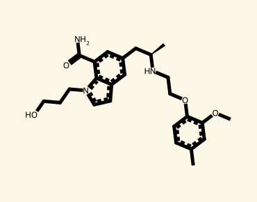 COc1cc(C)ccc1OCCN[C@H](C)Cc1cc(C(N)=O)c2c(ccn2CCCO)c1